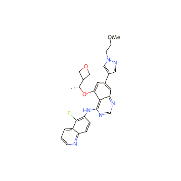 COCCn1cc(-c2cc(O[C@H](C)C3COC3)c3c(Nc4ccc5ncccc5c4F)ncnc3c2)cn1